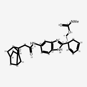 CNC(=O)OC[C@@]1(c2nc3cc(NC(=O)CC4C5CC6CC(C5)CC4C6)ccc3[nH]2)C=CC=CC1